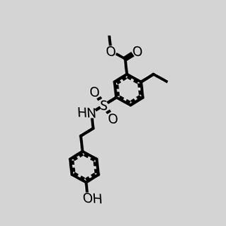 CCc1ccc(S(=O)(=O)NCCc2ccc(O)cc2)cc1C(=O)OC